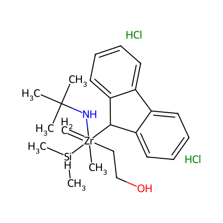 Cl.Cl.[CH2]=[Zr]([CH3])([CH2]CO)([NH]C(C)(C)C)([CH]1c2ccccc2-c2ccccc21)[SiH](C)C